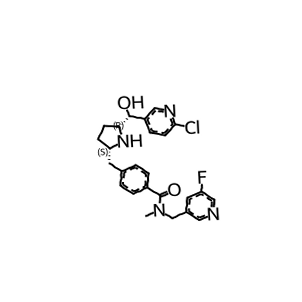 CN(Cc1cncc(F)c1)C(=O)c1ccc(C[C@@H]2CC[C@H](C(O)c3ccc(Cl)nc3)N2)cc1